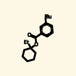 CCC(C)c1cccc(C(=O)OC2(CC)CCCCC2)c1